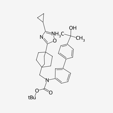 CC(C)(C)OC(=O)N(CC12CCC(c3nc(C4CC4)no3)(CC1)CC2)c1cccc(-c2ccc(C(C)(C)O)cc2)c1